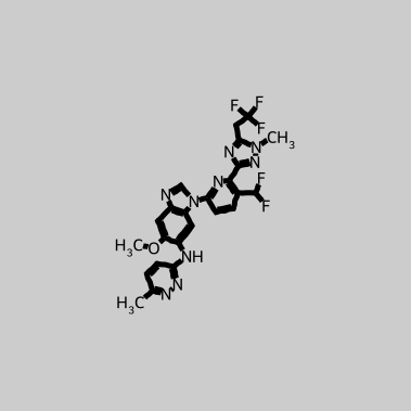 COc1cc2ncn(-c3ccc(C(F)F)c(-c4nc(CC(F)(F)F)n(C)n4)n3)c2cc1Nc1ccc(C)nn1